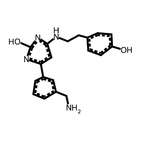 NCc1cccc(-c2cc(NCCc3ccc(O)cc3)nc(O)n2)c1